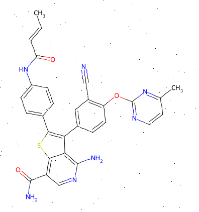 CC=CC(=O)Nc1ccc(-c2sc3c(C(N)=O)cnc(N)c3c2-c2ccc(Oc3nccc(C)n3)c(C#N)c2)cc1